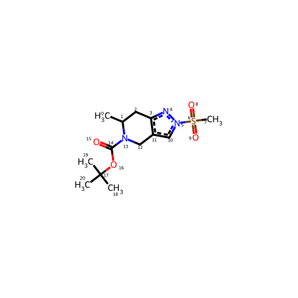 CC1Cc2nn(S(C)(=O)=O)cc2CN1C(=O)OC(C)(C)C